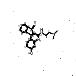 CN(C)CCNc1nc2cc(Cl)ccc2c2c1C(=O)c1cnccc1-2